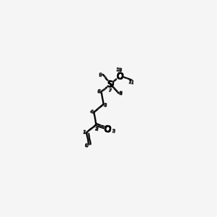 C=CC(=O)CCC[Si](C)(C)OC